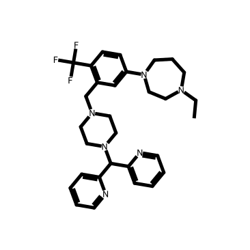 CCN1CCCN(c2ccc(C(F)(F)F)c(CN3CCN(C(c4ccccn4)c4ccccn4)CC3)c2)CC1